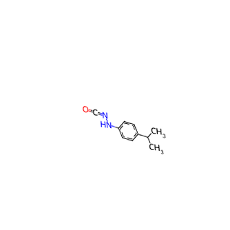 CC(C)c1ccc(NN=C=O)cc1